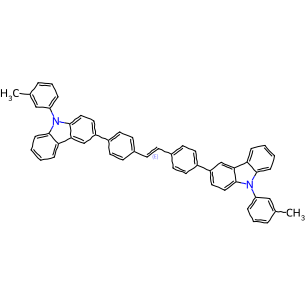 Cc1cccc(-n2c3ccccc3c3cc(-c4ccc(/C=C/c5ccc(-c6ccc7c(c6)c6ccccc6n7-c6cccc(C)c6)cc5)cc4)ccc32)c1